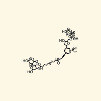 CCB(S)C1=C/C=C(C#CCNC(=O)CCSSCCCCC(=O)NC(CC(=O)O)C(=O)NC(CC(=O)O)C(=O)O)\C=C/C(C2CC(O)C(COP(=O)(O)OP(=O)(O)OP(=O)(O)O)O2)=C\1